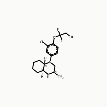 C[C@@H]1CN(c2ccc(OC(F)(F)CO)c(Cl)c2)[C@H]2CCCC[C@@H]2N1